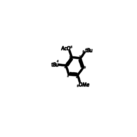 COc1cc(C(C)(C)C)c(OC(C)=O)c(C(C)(C)C)c1